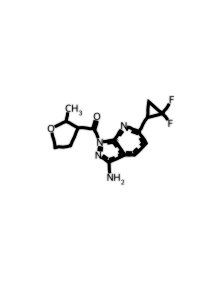 CC1OCCC1C(=O)n1nc(N)c2ccc(C3CC3(F)F)nc21